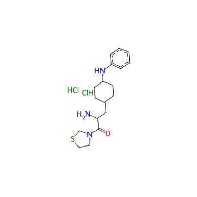 Cl.Cl.NC(CC1CCC(Nc2ccccc2)CC1)C(=O)N1CCSC1